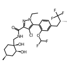 CCn1nc(C(=O)NC[C@@]2(O)CC[C@H](C)C[C@@H]2O)c(Cl)c1-c1ccc(C[C@@H](C)C(F)(F)F)cc1OC(F)F